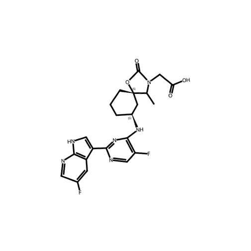 CC1N(CC(=O)O)C(=O)O[C@]12CCC[C@H](Nc1nc(-c3c[nH]c4ncc(F)cc34)ncc1F)C2